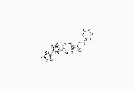 O=C(CCC1CCCCC1)N1CCC(c2nc(-c3cccs3)no2)CC1